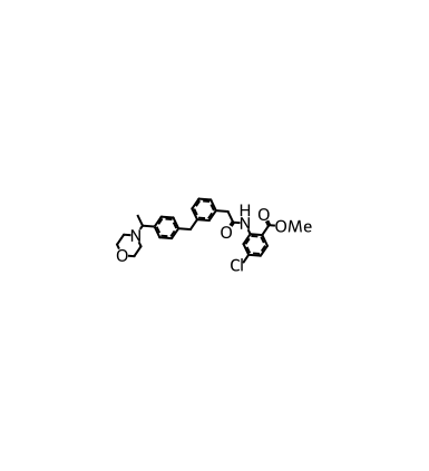 COC(=O)c1ccc(Cl)cc1NC(=O)Cc1cccc(Cc2ccc(C(C)N3CCOCC3)cc2)c1